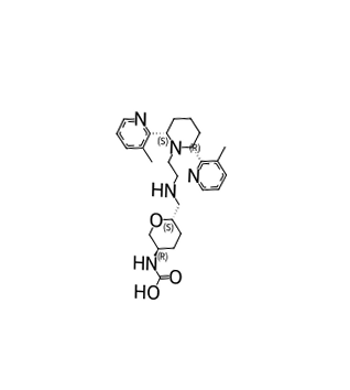 Cc1cccnc1[C@H]1CCC[C@@H](c2ncccc2C)N1CCNC[C@@H]1CC[C@@H](NC(=O)O)CO1